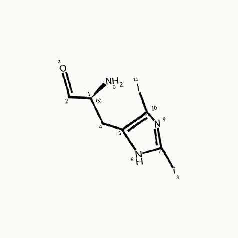 N[C@H](C=O)Cc1[nH]c(I)nc1I